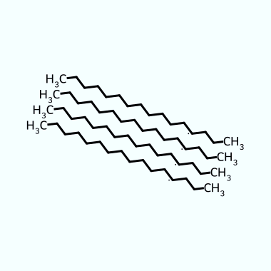 CCC[CH]CCCCCCCCCCCC.CCC[CH]CCCCCCCCCCCC.CCC[CH]CCCCCCCCCCCC.CCC[CH]CCCCCCCCCCCC